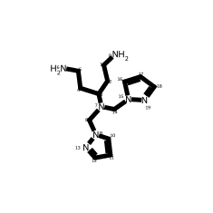 NCCC(CCN)N(Cn1cccn1)Cn1cccn1